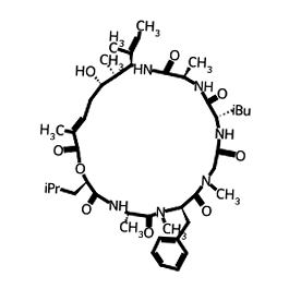 C/C=C(\C)[C@H]1NC(=O)[C@@H](C)NC(=O)[C@H](C(C)CC)NC(=O)CN(C)C(=O)[C@@H](Cc2ccccc2)N(C)C(=O)[C@H](C)NC(=O)[C@@H](CC(C)C)OC(=O)/C(C)=C/C[C@H](O)[C@@H]1C